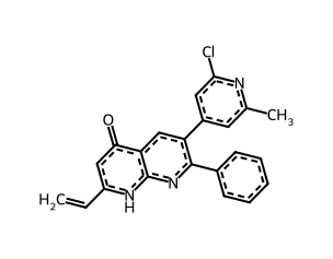 C=Cc1cc(=O)c2cc(-c3cc(C)nc(Cl)c3)c(-c3ccccc3)nc2[nH]1